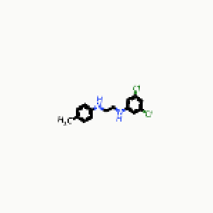 Cc1ccc(NCCNc2cc(Cl)cc(Cl)c2)cc1